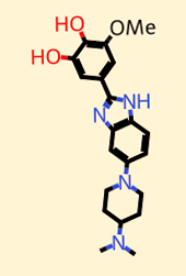 COc1cc(-c2nc3cc(N4CCC(N(C)C)CC4)ccc3[nH]2)cc(O)c1O